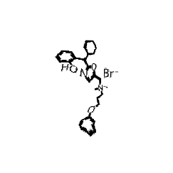 C[N+](C)(CCCOc1ccccc1)Cc1cnc(C(c2ccccc2O)C2CCCCC2)o1.[Br-]